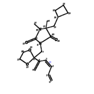 C=C/C=C\C(=C)C1(CN2C(=O)N(C)C(C)(CC3CCC3)C2=O)OCCO1